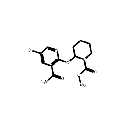 CC(C)(C)OC(=O)N1CCCCC1Oc1ncc(Br)cc1C(N)=O